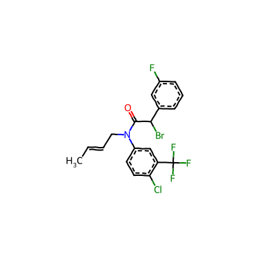 C/C=C/CN(C(=O)C(Br)c1cccc(F)c1)c1ccc(Cl)c(C(F)(F)F)c1